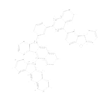 c1cc(-c2nc(-c3ccc4oc5ccccc5c4c3)c3ccccc3n2)cc(-n2c3ccccc3c3c(-n4c5ccccc5c5cc6ccccc6cc54)c4ccccc4cc32)c1